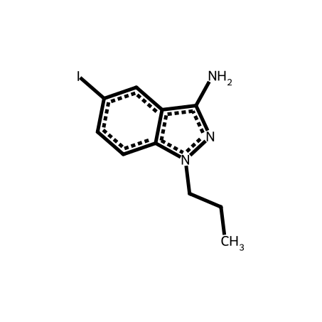 CCCn1nc(N)c2cc(I)ccc21